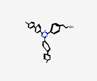 CCCCCCCCCCCCc1ccc(-c2nc(-c3ccc(-c4ccc(C)cc4)cc3)nc(-c3ccc(-c4ccc(C)cc4)cc3)n2)cc1